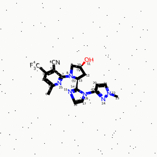 Cc1cc(C(F)(F)F)c(C#N)c(N2C[C@@H](O)C[C@H]2c2nccn2-c2ccn(C)n2)n1